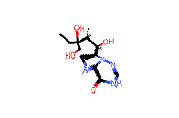 CCC(O)(CO)[C@H](C)[C@@H](O)c1cnc2c(=O)[nH]cnn12